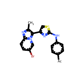 CC(=O)c1ccc(Nc2nc(-c3c(C)nc4ccc(Br)cn34)cs2)cc1